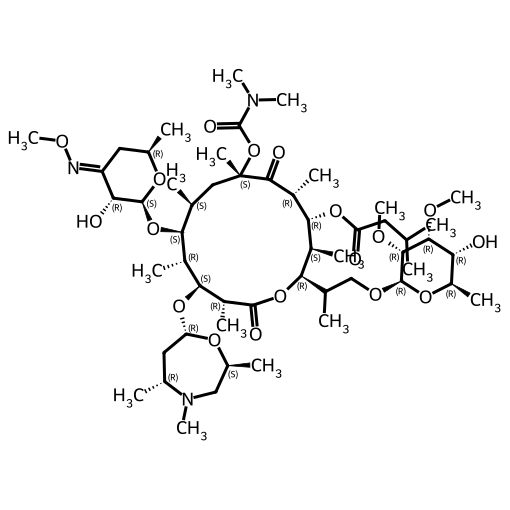 CON=C1C[C@@H](C)O[C@@H](O[C@@H]2[C@@H](C)[C@H](O[C@H]3C[C@@H](C)N(C)C[C@H](C)O3)[C@@H](C)C(=O)O[C@H](C(C)CO[C@@H]3O[C@H](C)[C@@H](O)[C@@H](OC)[C@H]3OC)[C@H](C)[C@@H](OC(=O)CC(C)C)[C@@H](C)C(=O)[C@@](C)(OC(=O)N(C)C)C[C@@H]2C)[C@@H]1O